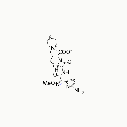 CO/N=C(\C(=O)NC1C(=O)N2C(C(=O)[O-])=C(C[N+]3(C)CCN(C)CC3)CS[C@@H]12)c1csc(N)n1